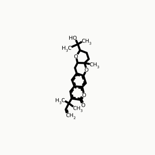 C=CC(C)(C)c1cc2cc3c(cc2oc1=O)OC1(C)CCC(C(C)(C)O)OC1C3